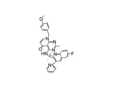 COc1ccc(Cn2ccc(=O)c3c(N[C@@H](C)c4nc5ccc(F)cc5cc4-c4ccccn4)nc(C)nc32)cc1